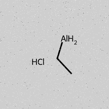 C[CH2][AlH2].Cl